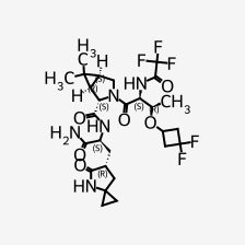 C[C@@H](OC1CC(F)(F)C1)[C@H](NC(=O)C(F)(F)F)C(=O)N1C[C@H]2[C@@H]([C@H]1C(=O)N[C@@H](C[C@@H]1CC3(CC3)NC1=O)C(N)=O)C2(C)C